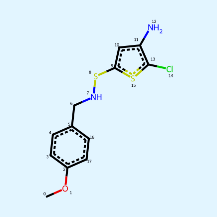 COc1ccc(CNSc2cc(N)c(Cl)s2)cc1